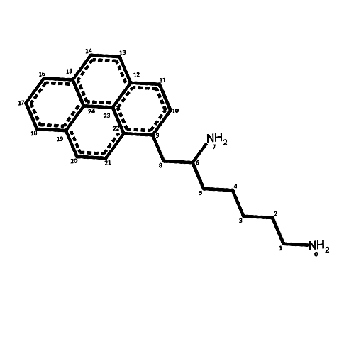 NCCCCCC(N)Cc1ccc2ccc3cccc4ccc1c2c34